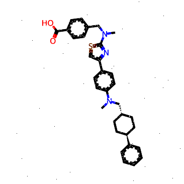 CN(Cc1ccc(C(=O)O)cc1)c1nc(-c2ccc(N(C)C[C@H]3CC[C@H](c4ccccc4)CC3)cc2)cs1